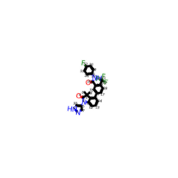 CC1(C)C(=O)N(c2cn[nH]c2)c2cccc(-c3ccc(C(F)(F)F)c(C(=O)Nc4ccc(F)cc4)c3)c21